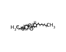 CCCCCCCC1CCC(C(=O)OC2CCC(OCCC)CC2)CC1